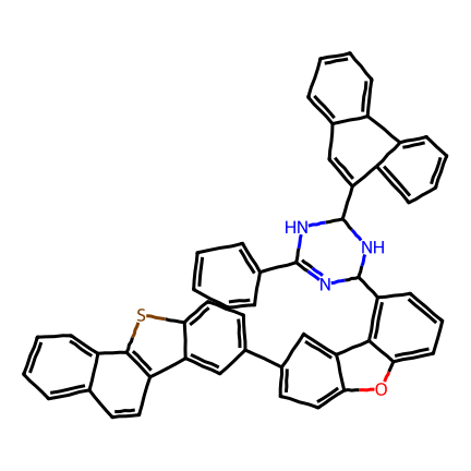 c1ccc(C2=NC(c3cccc4oc5ccc(-c6ccc7sc8c9ccccc9ccc8c7c6)cc5c34)NC(c3cc4ccccc4c4ccccc34)N2)cc1